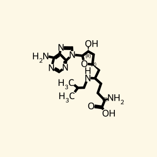 CC(C)CNC(CC[C@@H](N)C(=O)O)C[C@@H]1C[C@@H](O)C(n2cnc3c(N)ncnc32)O1